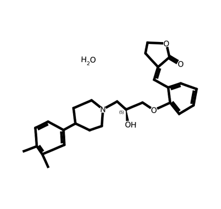 Cc1ccc(C2CCN(C[C@H](O)COc3ccccc3C=C3CCOC3=O)CC2)cc1C.O